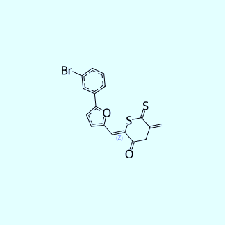 C=C1CC(=O)/C(=C/c2ccc(-c3cccc(Br)c3)o2)SC1=S